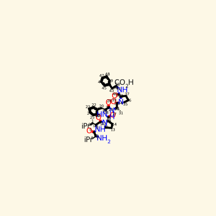 CC(C)C[C@H](NC(=O)[C@@H](N)C(C)C)C(=O)N1CCC[C@H]1C(=O)N[C@@H](Cc1ccccc1)C(=O)N[C@@H](C)C(=O)N1CCC[C@H]1C(=O)N[C@@H](Cc1ccccc1)C(=O)O